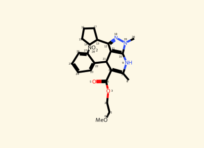 COCCOC(=O)C1=C(C)Nc2c(c(C3CCCC3)nn2C)C1c1ccccc1[N+](=O)[O-]